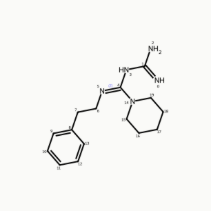 N=C(N)N/C(=N/CCc1ccccc1)N1CCCCC1